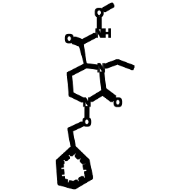 CCN1C(=O)N(OCc2ccccc2)CC[C@H]1C(=O)NOC